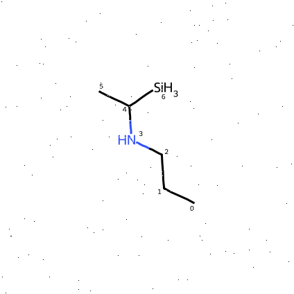 CCCNC(C)[SiH3]